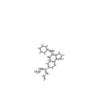 C=N/N=C(\NN)c1ccc2c(c1)nc(Nc1ccccc1)c1ccsc12